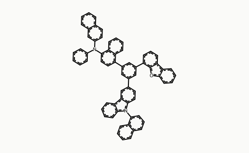 c1ccc(N(c2ccc3ccccc3c2)c2ccc(-c3cc(-c4ccc5c(c4)c4ccccc4n5-c4cccc5ccccc45)cc(-c4cccc5c4oc4ccccc45)c3)c3ccccc23)cc1